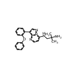 CC(C)(N)CNc1ccnc2c(-c3ccccc3Oc3ccccc3)cnn12